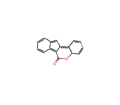 O=C1OC2C=CC=CC2=C2C=c3ccccc3=C12